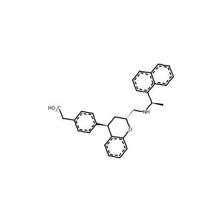 C[C@@H](NC[C@H]1C[C@H](c2ccc(CC(=O)O)cc2)c2ccccc2O1)c1cccc2ccccc12